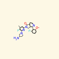 COc1cccc(F)c1-c1nccc2c1CN(c1cc(C)c(F)c(N3CCC(N)C3)n1)C2=O